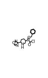 O=C(Cl)N(OCc1ccccc1)C1CCC(c2ncon2)NC1